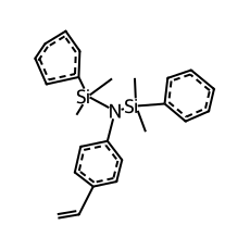 C=Cc1ccc(N([Si](C)(C)c2ccccc2)[Si](C)(C)c2ccccc2)cc1